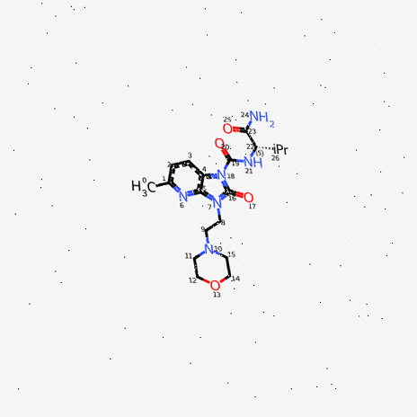 Cc1ccc2c(n1)n(CCN1CCOCC1)c(=O)n2C(=O)N[C@H](C(N)=O)C(C)C